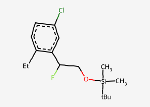 CCc1ccc(Cl)cc1C(F)CO[Si](C)(C)C(C)(C)C